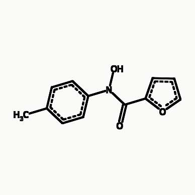 Cc1ccc(N(O)C(=O)c2ccco2)cc1